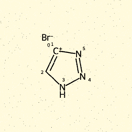 [Br-].[C+]1=CNN=N1